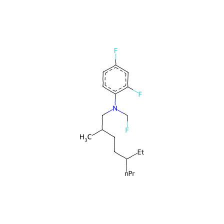 CCCC(CC)CCC(C)CN(CF)c1ccc(F)cc1F